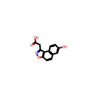 O=C(O)Cc1noc2ccc3cc(O)ccc3c12